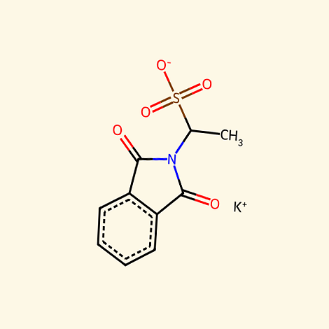 CC(N1C(=O)c2ccccc2C1=O)S(=O)(=O)[O-].[K+]